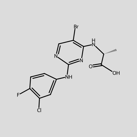 C[C@@H](Nc1nc(Nc2ccc(F)c(Cl)c2)ncc1Br)C(=O)O